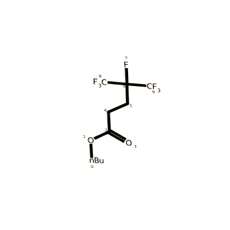 CCCCOC(=O)CCC(F)(C(F)(F)F)C(F)(F)F